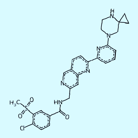 CS(=O)(=O)c1cc(C(=O)NCc2cc3nc(-c4cccc(N5CCNC6(CC6)C5)n4)ccc3cn2)ccc1Cl